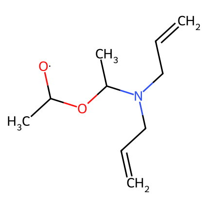 C=CCN(CC=C)C(C)OC(C)[O]